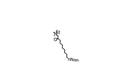 CCCCCCCCCCCCCCCCCC(=O)C[N+](C)(C)CC